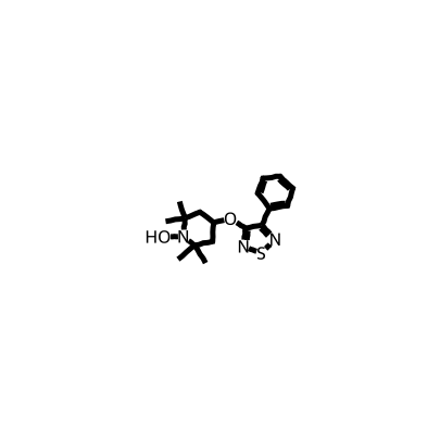 CC1(C)CC(Oc2nsnc2-c2ccccc2)CC(C)(C)N1O